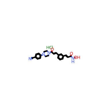 Cl.N#Cc1ccc(N2CCN(C(=O)C=Cc3cccc(C=CC(=O)NO)c3)CC2)cc1